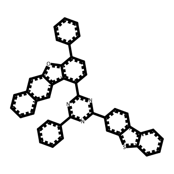 c1ccc(-c2nc(-c3ccc4c(c3)sc3ccccc34)nc(-c3ccc(-c4ccccc4)c4oc5cc6ccccc6cc5c34)n2)cc1